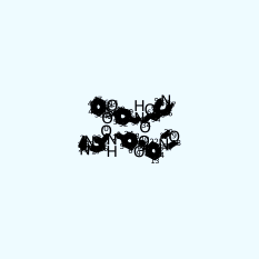 O=C(NCc1ccc(S(=O)(=O)c2cccc(N3CCOCC3)c2)cc1)c1ccc2nccn2c1.O=C(NCc1ccc(S(=O)(=O)c2ccccc2)cc1)c1cc2ccncc2o1